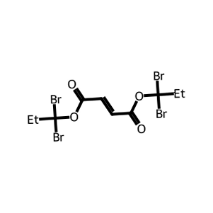 CCC(Br)(Br)OC(=O)/C=C/C(=O)OC(Br)(Br)CC